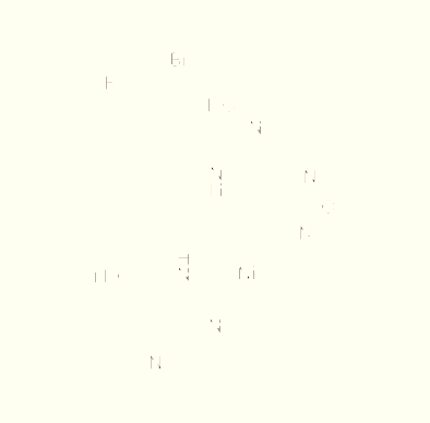 CCN/C(=N\C#N)NCc1nonc1/C(=N/O)Nc1ccc(F)c(Br)c1